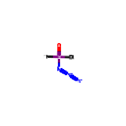 CCP(=O)(CC)N=[N+]=[N-]